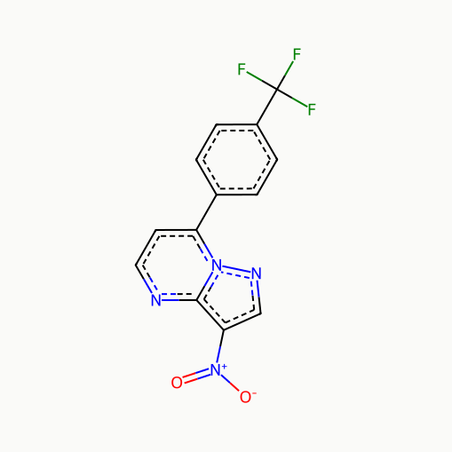 O=[N+]([O-])c1cnn2c(-c3ccc(C(F)(F)F)cc3)ccnc12